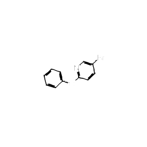 Brc1ccc(Oc2cc[c]cc2)nc1